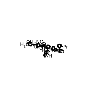 COc1nc2[nH]ccc2cc1Oc1cc(N2CCC3(CC2)CC(N2CCOC[C@@H]2c2ccccc2C(C)C)C3)ccc1C(=O)NS(=O)(=O)c1cc2c(c([N+](=O)[O-])c1)O[C@H]([C@H]1CC[C@](C)(O)CC1)CO2